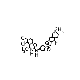 CC(NC(=O)Nc1ccc(S(=O)(=O)Cc2ccc3c(c2F)CCN(C)C3)cc1)c1cccc(Cl)c1Cl